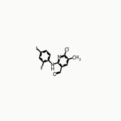 Cc1cc(C=O)c(Nc2ccc(I)cc2F)nc1Cl